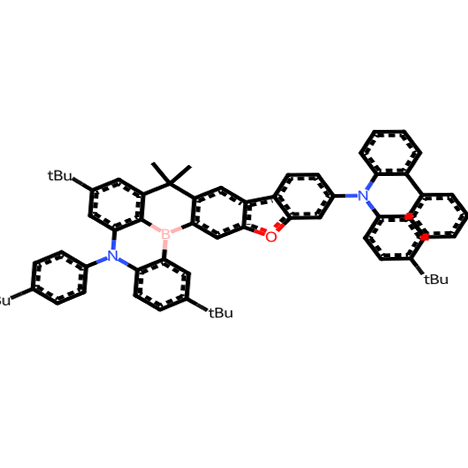 CC(C)(C)c1ccc(N(c2ccc3c(c2)oc2cc4c(cc23)C(C)(C)c2cc(C(C)(C)C)cc3c2B4c2cc(C(C)(C)C)ccc2N3c2ccc(C(C)(C)C)cc2)c2ccccc2-c2ccccc2)cc1